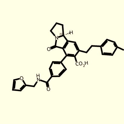 O=C(NCc1ccco1)c1ccc(-c2c(C(=O)O)c(CCc3ccc(F)cc3)cc3c2C(=O)N2CCC[C@@H]32)cc1